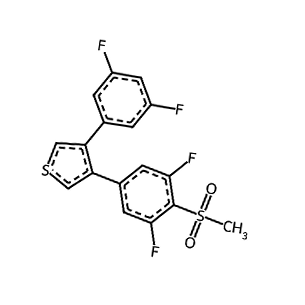 CS(=O)(=O)c1c(F)cc(-c2cscc2-c2cc(F)cc(F)c2)cc1F